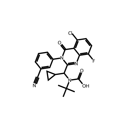 CC(C)(C)N(C(=O)O)C(c1nc2c(F)ccc(Cl)c2c(=O)n1-c1cccc(C#N)c1)C1CC1